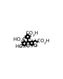 O=C(O)CCc1cc2c(-c3ccc(C(=O)O)cc3C(=O)O)c3ccc(O)cc3oc-2cc1=O